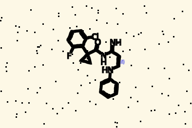 N=C(/C=C\Nc1ccccc1)NC(=O)C1(c2c(F)cccc2Cl)CC1